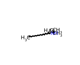 CCCCCCCCCCCCCCCCCCNC(C)[As](C)C